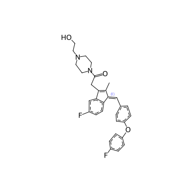 CC1=C(CC(=O)N2CCN(CCO)CC2)c2cc(F)ccc2/C1=C\c1ccc(Oc2ccc(F)cc2)cc1